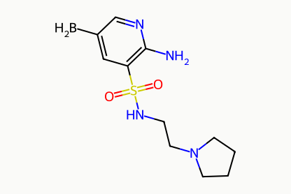 Bc1cnc(N)c(S(=O)(=O)NCCN2CCCC2)c1